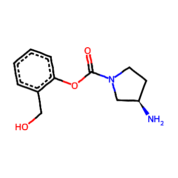 N[C@@H]1CCN(C(=O)Oc2ccccc2CO)C1